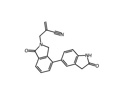 C=C(C#N)CN1Cc2c(cccc2-c2ccc3c(c2)CC(=O)N3)C1=O